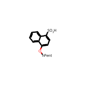 CCCCCOc1ccc(S(=O)(=O)O)c2ccccc12